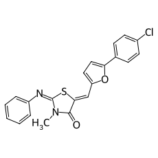 CN1C(=O)/C(=C/c2ccc(-c3ccc(Cl)cc3)o2)S/C1=N/c1ccccc1